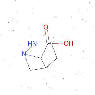 O=C(O)C1C2CCNN1C2